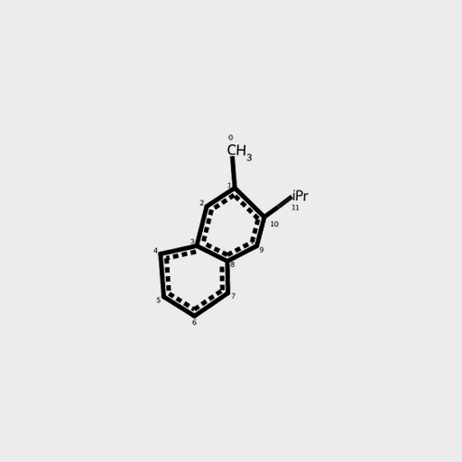 Cc1cc2ccccc2cc1C(C)C